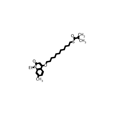 C=C(C)C(=O)SCCCCCCCCCCCOc1cc(=O)n(CC)c2cc(C)ccc12